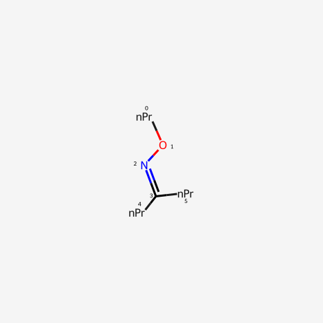 CCCON=C(CCC)CCC